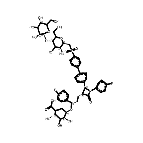 O=C(O)C1C[C@@H](O[C@@H](CC[C@H]2C(=O)N(c3ccc(F)cc3)[C@@H]2c2ccc(-c3ccc(S(=O)(=O)C[C@@H]4OC(CO)[C@@H](O[C@@H]5OC(CO)[C@@H](O)C(O)[C@@H]5O)C(O)[C@@H]4O)cc3)cc2)c2ccc(F)cc2)[C@@H](O)C(O)[C@@H]1O